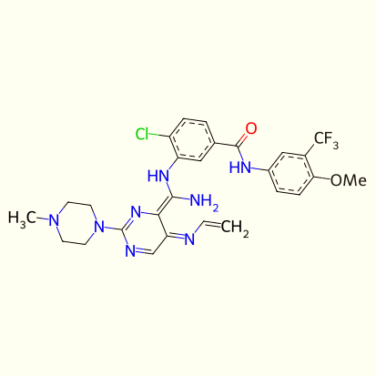 C=C/N=C1/C=NC(N2CCN(C)CC2)=N/C1=C(/N)Nc1cc(C(=O)Nc2ccc(OC)c(C(F)(F)F)c2)ccc1Cl